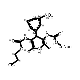 CCCCCCCCCOC(=O)OC1=C(C)NC(C)=C(OC(=O)OCCCl)C1c1cccc([N+](=O)[O-])c1